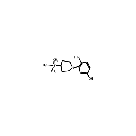 C[N+](C)(C)C1CCN(c2cc(O)ccc2N)CC1